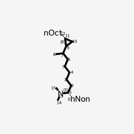 CCCCCCCCC[C@@H](CCCCCC(C)C1C[C@H]1CCCCCCCC)N(C)C